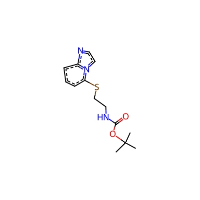 CC(C)(C)OC(=O)NCCSc1cccc2nccn12